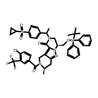 CC(c1ccc(S(=O)(=O)C2CC2)cc1)N1C[C@@H](CO[Si](c2ccccc2)(c2ccccc2)C(C)(C)C)n2nc3c(c2C1=O)CN(C(=O)c1ccc(Cl)c(C(F)(F)F)c1)[C@H](C)C3